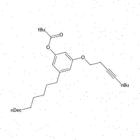 CCCCC#CCCOc1cc(CCCCCCCCCCCCCCC)cc(OC(=O)C(C)(C)C)c1